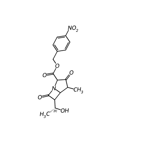 CC1C(=O)C(C(=O)OCc2ccc([N+](=O)[O-])cc2)N2C(=O)C([C@@H](C)O)C12